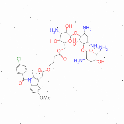 COc1ccc2c(c1)c(CC(=O)OCCCC(=O)OC[C@H]1O[C@H](O[C@@H]3[C@@H](O)[C@H](O[C@H]4O[C@H](CN)[C@@H](O)C[C@H]4N)[C@@H](N)C[C@H]3N)[C@H](O)[C@@H](N)[C@@H]1O)c(C)n2C(=O)c1ccc(Cl)cc1